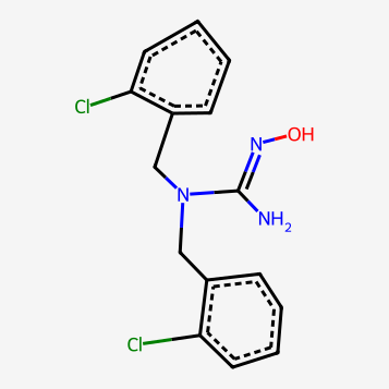 N/C(=N\O)N(Cc1ccccc1Cl)Cc1ccccc1Cl